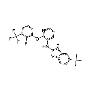 CC(C)(C)c1ccc2nc(Nc3cccnc3Oc3cccc(C(F)(F)F)c3F)[nH]c2c1